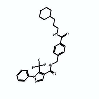 O=C(NCCCC1CCCCC1)c1ccc(CNC(=O)c2cnn(-c3ccccc3)c2C(F)(F)F)cc1